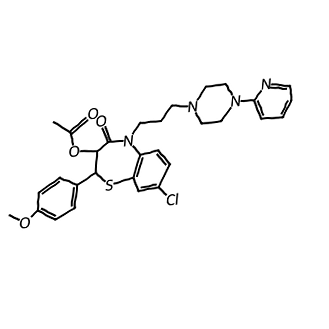 COc1ccc(C2Sc3cc(Cl)ccc3N(CCCN3CCN(c4ccccn4)CC3)C(=O)C2OC(C)=O)cc1